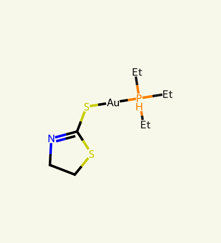 CC[PH](CC)(CC)[Au][S]C1=NCCS1